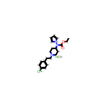 CCOC(=O)N(C1CCN(CCc2ccc(Cl)cc2)CC1)n1cccc1.Cl